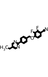 CCc1cnc(-c2ccc(COc3ccc(C#N)c(F)c3F)cc2)nc1